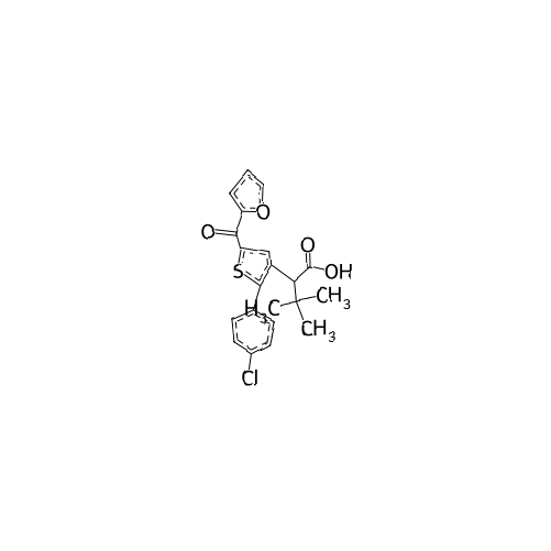 CC(C)(C)C(C(=O)O)c1cc(C(=O)c2ccco2)sc1-c1ccc(Cl)cc1